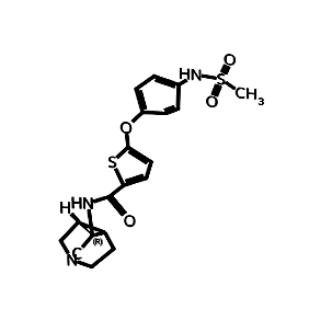 CS(=O)(=O)Nc1ccc(Oc2ccc(C(=O)N[C@H]3CN4CCC3CC4)s2)cc1